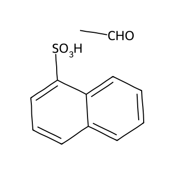 CC=O.O=S(=O)(O)c1cccc2ccccc12